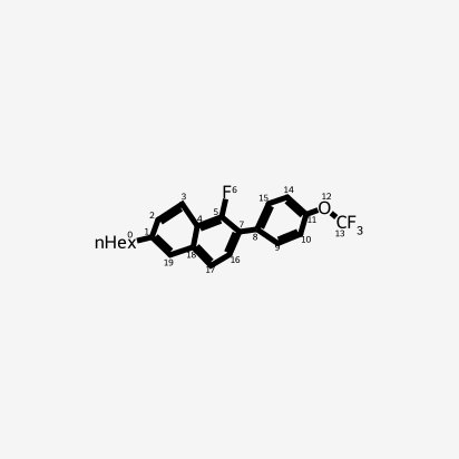 CCCCCCc1ccc2c(F)c(-c3ccc(OC(F)(F)F)cc3)ccc2c1